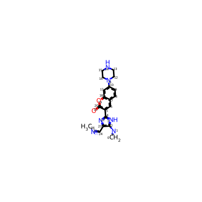 C=Nc1[nH]c(-c2cc3ccc(N4CCNCC4)cc3oc2=O)nc1/C=N\C